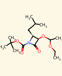 CCOC(C)O[C@H]1C(=O)N(C(=O)OC(C)(C)C)[C@H]1CC(C)C